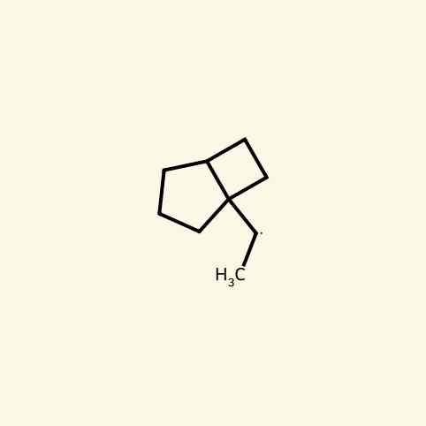 C[CH]C12CCCC1CC2